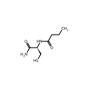 CCCC(=O)N[C@@H](CS)C(N)=O